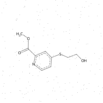 COC(=O)c1cc(SCCO)ccn1